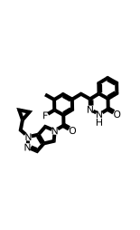 CC1C=C(Cc2n[nH]c(=O)c3ccccc23)C=C(C(=O)N2Cc3cnn(CC4CC4)c3C2)C1F